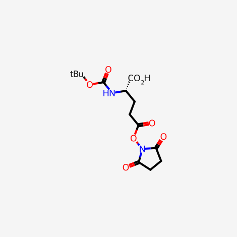 CC(C)(C)OC(=O)N[C@@H](CCC(=O)ON1C(=O)CCC1=O)C(=O)O